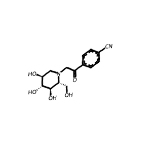 N#Cc1ccc(C(=O)CN2C[C@H](O)[C@@H](O)[C@H](O)[C@H]2CO)cc1